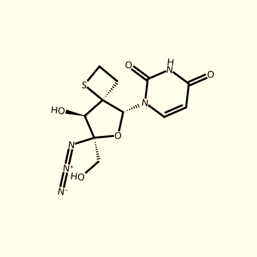 [N-]=[N+]=N[C@]1(CO)O[C@@H](n2ccc(=O)[nH]c2=O)[C@@]2(CCS2)[C@@H]1O